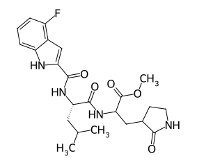 COC(=O)C(CC1CCNC1=O)NC(=O)[C@H](CC(C)C)NC(=O)c1cc2c(F)cccc2[nH]1